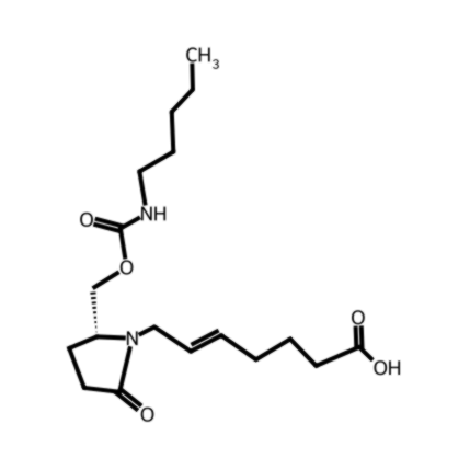 CCCCCNC(=O)OC[C@H]1CCC(=O)N1CC=CCCCC(=O)O